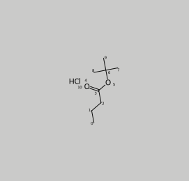 CCCC(=O)OC(C)(C)C.Cl